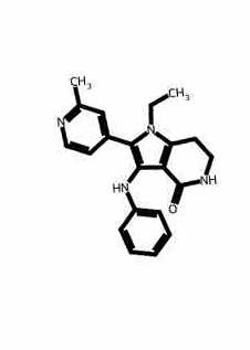 CCn1c2c(c(Nc3ccccc3)c1-c1ccnc(C)c1)C(=O)NCC2